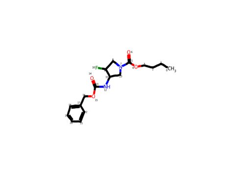 CCCCOC(=O)N1CC(F)C(NC(=O)OCc2ccccc2)C1